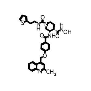 Cc1cc(COc2ccc(C(=O)N[C@@H]3CN(C(=O)NCCc4cccs4)CC[C@@H]3C(=O)NO)cc2)c2ccccc2n1